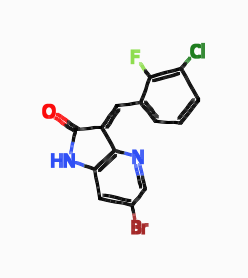 O=C1Nc2cc(Br)cnc2/C1=C\c1cccc(Cl)c1F